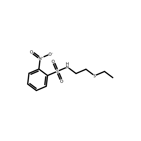 CCSCCNS(=O)(=O)c1ccccc1[N+](=O)[O-]